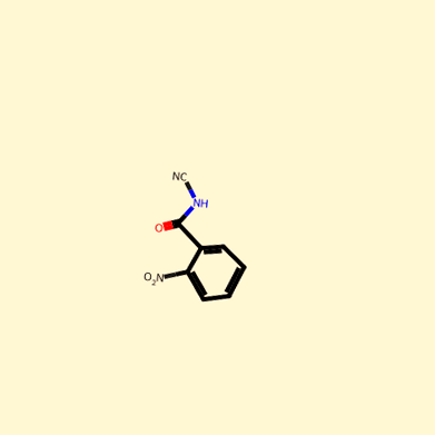 N#CNC(=O)c1ccccc1[N+](=O)[O-]